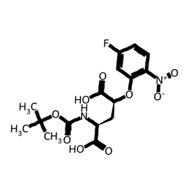 CC(C)(C)OC(=O)N[C@@H](C[C@H](Oc1cc(F)ccc1[N+](=O)[O-])C(=O)O)C(=O)O